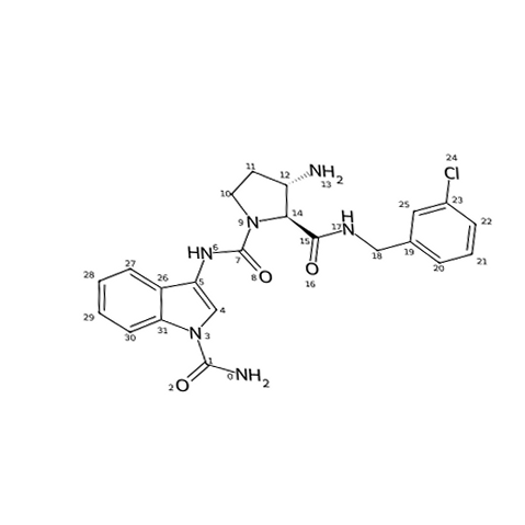 NC(=O)n1cc(NC(=O)N2CC[C@H](N)[C@H]2C(=O)NCc2cccc(Cl)c2)c2ccccc21